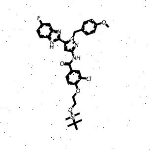 COc1ccc(Cn2nc(NC(=O)c3ccc(OCCO[Si](C)(C)C(C)(C)C)c(Cl)c3)cc2-c2nc3cc(F)ccc3[nH]2)cc1